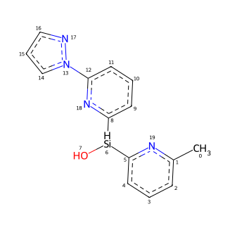 Cc1cccc([SiH](O)c2cccc(-n3cccn3)n2)n1